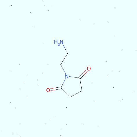 NCCN1C(=O)CCC1=O